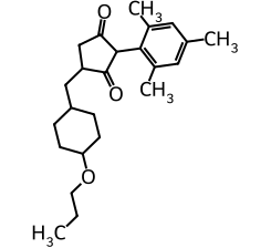 CCCOC1CCC(CC2CC(=O)C(c3c(C)cc(C)cc3C)C2=O)CC1